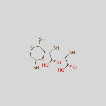 O=C(O)CS.O=C(O)CS.SC1CSC(S)CS1